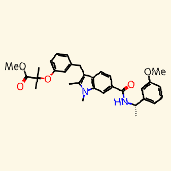 COC(=O)C(C)(C)Oc1cccc(Cc2c(C)n(C)c3cc(C(=O)N[C@@H](C)c4cccc(OC)c4)ccc23)c1